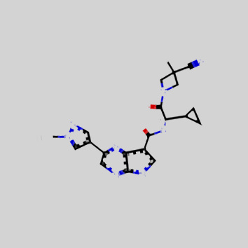 Cn1cc(-c2cnc3[nH]cc(C(=O)N[C@@H](C(=O)N4CC(C)(C#N)C4)C4CC4)c3n2)cn1